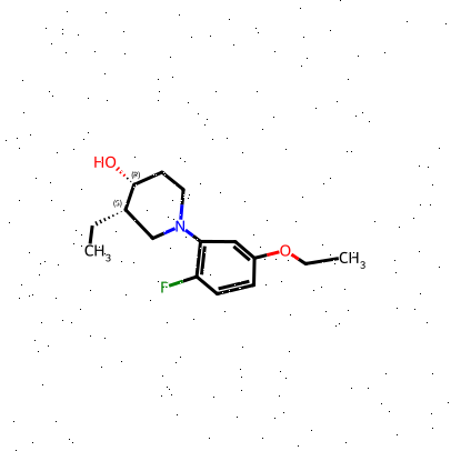 CCOc1ccc(F)c(N2CC[C@@H](O)[C@@H](CC)C2)c1